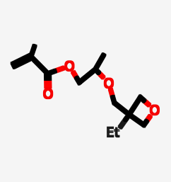 C=C(C)C(=O)OCC(C)OCC1(CC)COC1